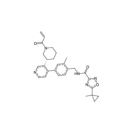 C=CC(=O)N1CCC[C@H](c2cnccc2-c2ccc(CNC(=O)c3noc(C4(C)CC4)n3)c(C)c2)C1